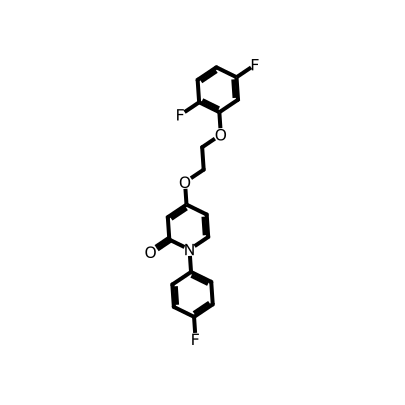 O=c1cc(OCCOc2cc(F)ccc2F)ccn1-c1ccc(F)cc1